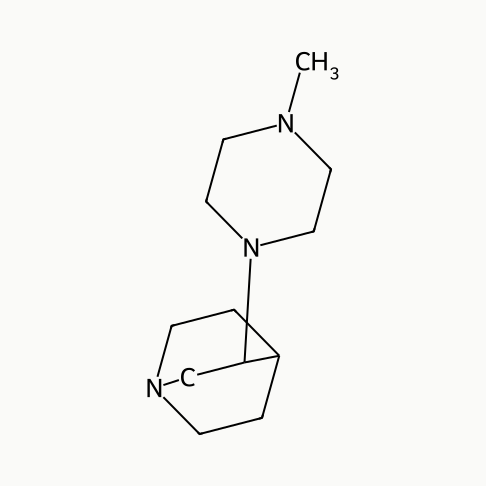 CN1CCN(C2CN3CCC2CC3)CC1